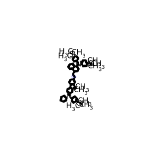 CC1(C)c2cc(/C=C/c3ccc(N(c4ccc([Si](C)(C)C)cc4)c4ccc([Si](C)(C)C)cc4)c4ccccc34)ccc2-c2ccc(N(c3ccccc3)c3ccc([Si](C)(C)C)cc3)cc21